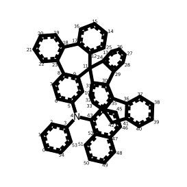 c1ccc(N(c2ccc3c(c2)C2(c4ccccc4-c4ccccc4-3)c3ccccc3-c3c2ccc2c3-c3ccccc3C2)c2cccc3ccccc23)cc1